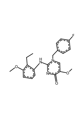 CCc1c(Nc2nc(=O)c(OC)cn2Cc2ccc(F)cc2)cccc1OC